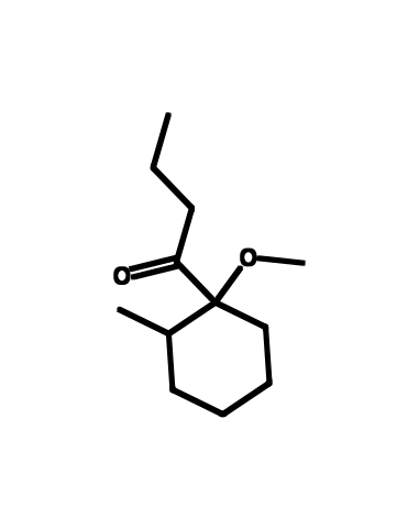 CCCC(=O)C1(OC)CCCCC1C